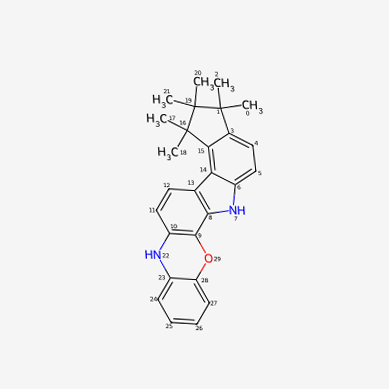 CC1(C)c2ccc3[nH]c4c5c(ccc4c3c2C(C)(C)C1(C)C)Nc1ccccc1O5